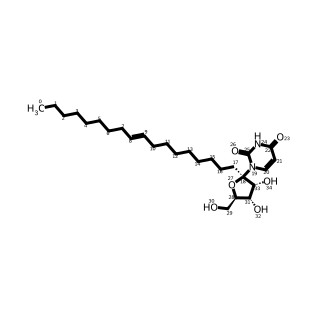 CCCCCCCCC=CCCCCCCCC[C@@]1(n2ccc(=O)[nH]c2=O)O[C@H](CO)[C@@H](O)[C@H]1O